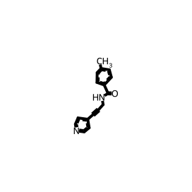 Cc1ccc(C(=O)NCC#Cc2ccncc2)cc1